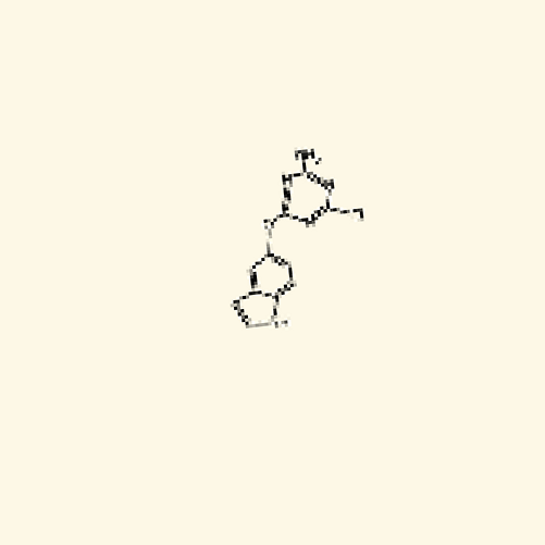 Nc1nc(Cl)nc(Oc2ccc3[nH]ccc3c2)n1